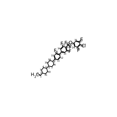 C=CC1CCC(C2CCC(c3ccc(-c4cc(F)c(C(F)(F)Oc5cc(F)c(Cl)c(F)c5)c(F)c4)c(F)c3)CC2)CC1